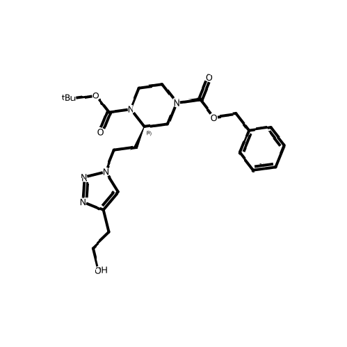 CC(C)(C)OC(=O)N1CCN(C(=O)OCc2ccccc2)C[C@H]1CCn1cc(CCO)nn1